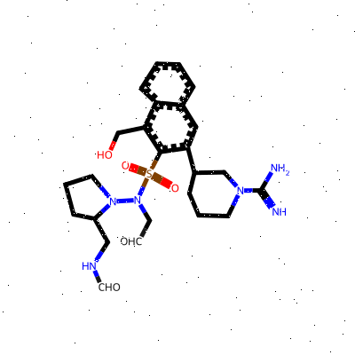 N=C(N)N1CCCC(c2cc3ccccc3c(CO)c2S(=O)(=O)N(CC=O)N2CCCC2CNC=O)C1